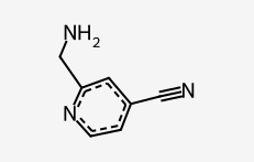 N#Cc1ccnc(CN)c1